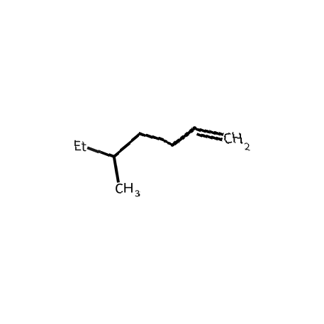 C=CCCC(C)CC